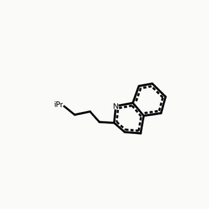 CC(C)CCCc1ccc2ccccc2n1